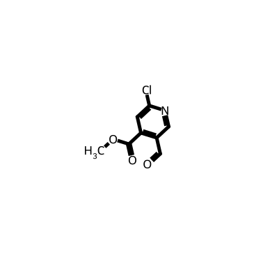 COC(=O)c1cc(Cl)ncc1C=O